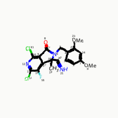 COc1ccc(CN2C(=O)c3c(Cl)nc(Cl)c(F)c3C2(C)C=N)c(OC)c1